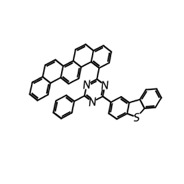 c1ccc(-c2nc(-c3ccc4sc5ccccc5c4c3)nc(-c3cccc4ccc5c6ccc7ccccc7c6ccc5c34)n2)cc1